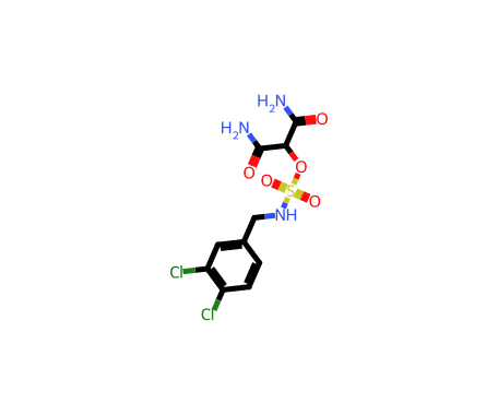 NC(=O)C(OS(=O)(=O)NCc1ccc(Cl)c(Cl)c1)C(N)=O